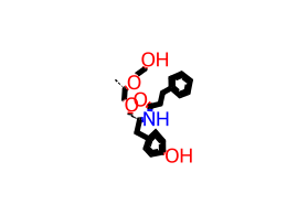 C[C@@H](COC[C@@H](Cc1ccc(O)cc1)NC(=O)CCc1ccccc1)OCCO